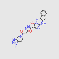 O=C(Cc1nnc(-c2cnc(NC3Cc4ccccc4C3)[nH]c2=O)o1)N1CCc2[nH]nnc2C1